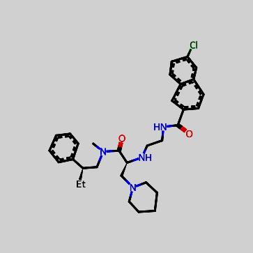 CC[C@H](CN(C)C(=O)[C@H](CN1CCCCC1)NCCNC(=O)c1ccc2cc(Cl)ccc2c1)c1ccccc1